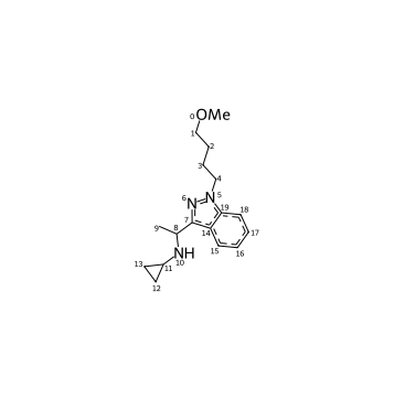 COCCCCn1nc(C(C)NC2CC2)c2ccccc21